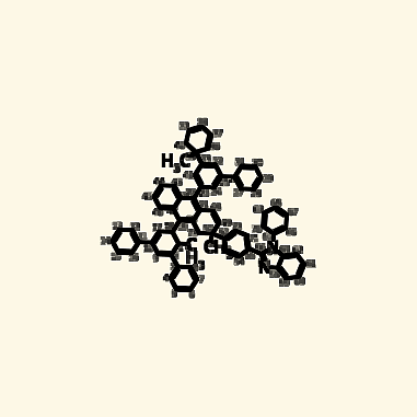 CC1C(c2ccccc2)=CC(c2ccccc2)=CC1c1c2c(c(-c3cc(-c4ccccc4)cc(C4(C)C=CC=CC4)c3)c3ccccc13)C=CC(C)(c1ccc(-c3nc4ccccc4n3-c3ccccc3)cc1)C2